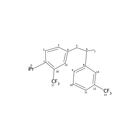 CC(C)c1ccc(CC(C)c2cccc(C(F)(F)F)c2)cc1C(F)(F)F